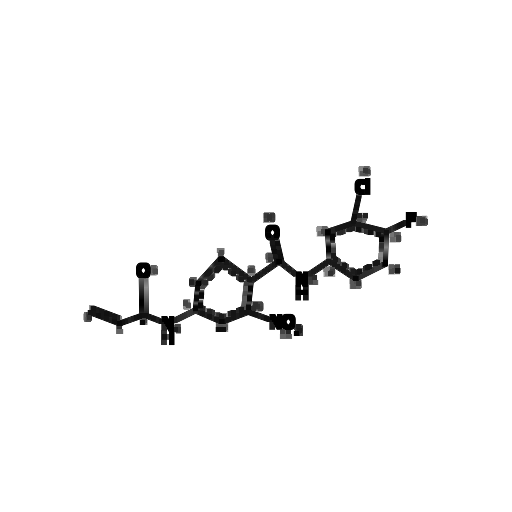 C=CC(=O)Nc1ccc(C(=O)Nc2ccc(F)c(Cl)c2)c([N+](=O)[O-])c1